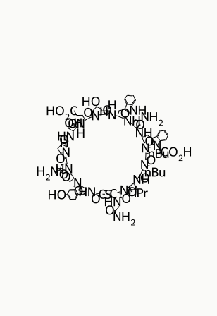 CCCC[C@H]1C(=O)N(C)[C@@H](CCCC)C(=O)N[C@@H](CC(C)C)C(=O)N[C@H](C(=O)NCC(N)=O)CSCC(=O)N[C@@H](Cc2ccc(O)cc2)C(=O)N(C)[C@@H](C)C(=O)N[C@@H](CC(N)=O)C(=O)N2CCC[C@H]2C(=O)N[C@@H](CO)C(=O)N[C@@H](CCC(=O)O)C(=O)N2C[C@H](O)C[C@H]2C(=O)N[C@@H](Cc2c[nH]c3ccccc23)C(=O)N[C@@H](CCN)C(=O)N[C@@H](Cc2cn(CC(=O)O)c3ccccc23)C(=O)N1C